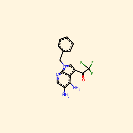 Nc1cnc2c(c(C(=O)C(F)(F)F)cn2Cc2ccccc2)c1N